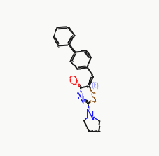 O=C1N=C(N2CCCC2)S/C1=C/c1ccc(-c2ccccc2)cc1